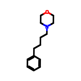 c1ccc(CCCCN2CCOCC2)cc1